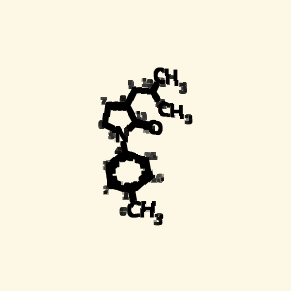 Cc1ccc(N2CC=C(CC(C)C)C2=O)cc1